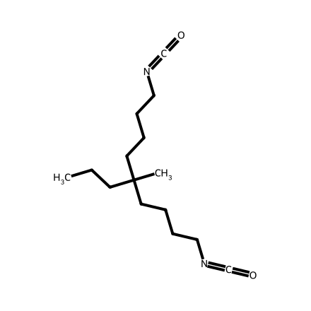 CCCC(C)(CCCCN=C=O)CCCCN=C=O